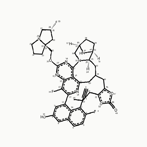 C#Cc1c(F)ccc2cc(O)cc(-c3nc4c5c(nc(OC[C@@]67CCCN6C[C@H](F)C7)nc5c3F)N3C[C@H]5CC[C@H](N5)[C@H]3CC(Cc3oc(=O)oc3CCC)C4)c12